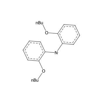 CCCCOc1ccccc1[N]c1ccccc1OCCCC